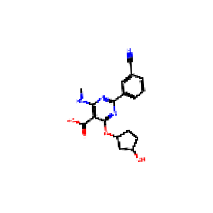 CNc1nc(-c2cccc(C#N)c2)nc(OC2CCC(O)C2)c1C(=O)O